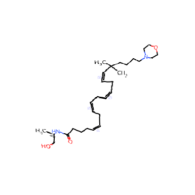 C[C@H](CO)NC(=O)CCC/C=C\C/C=C\C/C=C\C/C=C\C(C)(C)CCCCN1CCOCC1